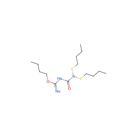 CCCCOC(=N)NC(=O)N(SCCCC)SCCCC